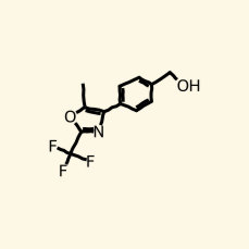 Cc1oc(C(F)(F)F)nc1-c1ccc(CO)cc1